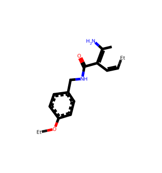 CC/C=C\C(C(=O)NCc1ccc(OCC)cc1)=C(/C)N